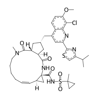 COc1ccc2c(C[C@@H]3C[C@H]4C(=O)N[C@]5(C(=O)NS(=O)(=O)C6(C)CC6)C[C@H]5/C=C\CCCCN(C)C(=O)[C@@H]4C3)cc(-c3nc(C(C)C)cs3)nc2c1Cl